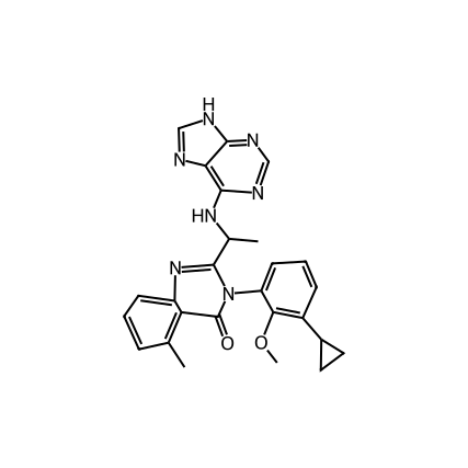 COc1c(C2CC2)cccc1-n1c(C(C)Nc2ncnc3[nH]cnc23)nc2cccc(C)c2c1=O